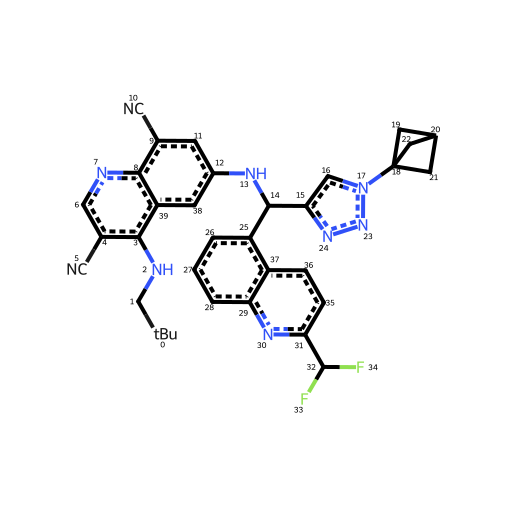 CC(C)(C)CNc1c(C#N)cnc2c(C#N)cc(NC(c3cn(C45CC(C4)C5)nn3)c3cccc4nc(C(F)F)ccc34)cc12